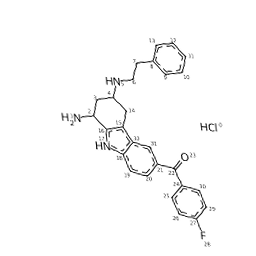 Cl.NC1CC(NCCc2ccccc2)Cc2c1[nH]c1ccc(C(=O)c3ccc(F)cc3)cc21